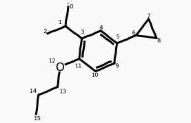 [CH2]C(C)c1cc(C2CC2)ccc1OCCC